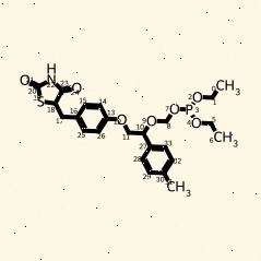 CCOP(OCC)OCOC(COc1ccc(CC2SC(=O)NC2=O)cc1)c1ccc(C)cc1